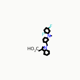 CN(c1cccc(Cn2cc(CC(=O)O)c3ccccc32)c1)c1cc(F)ccc1F